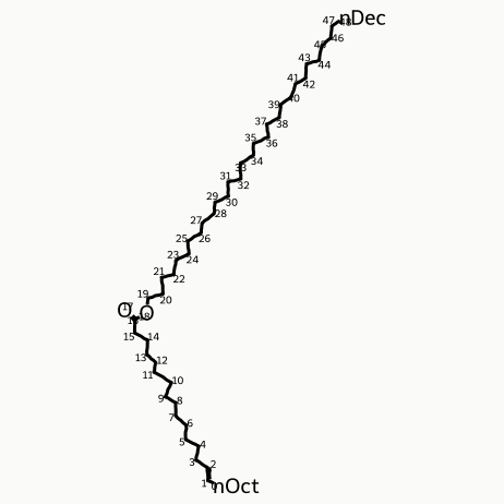 CCCCCCCCC=CCCCCCCCCCCCCCC(=O)OCCCCCCCCCCCCCCCCCCCCCCCCCCCCCCCCCCCCCCC